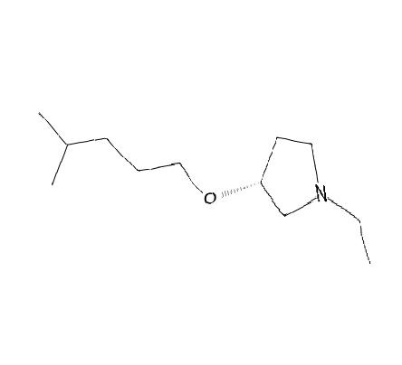 CCN1CC[C@@H](OCCCC(C)C)C1